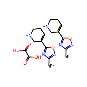 CCCc1noc(C2=CCCNC2)n1.CCCc1noc(C2=CCCNC2)n1.O=C(O)C(=O)O